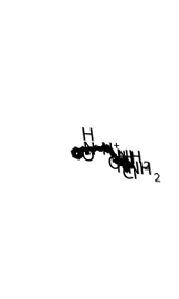 C[N+](C)(CCCCNC(=O)Cc1ccccc1)CCNC(=O)c1nc(Cl)c(N)nc1N